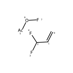 C=CC(F)F.CC(=O)OF